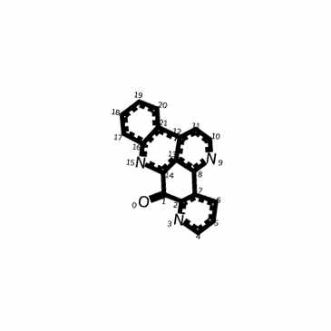 O=C1c2ncccc2-c2nccc3c2c1nc1ccccc13